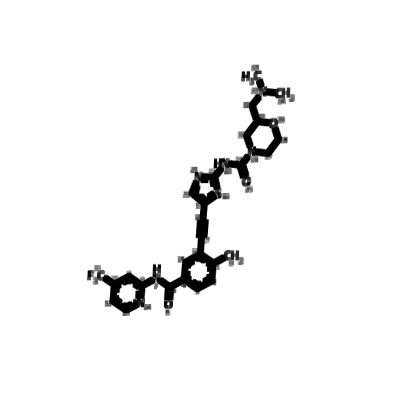 Cc1ccc(C(=O)Nc2cc(C(F)(F)F)ccn2)cc1C#Cc1cnc(NC(=O)N2CCOC(CN(C)C)C2)s1